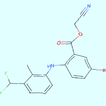 Cc1c(Nc2ccc(Br)cc2C(=O)OCC#N)cccc1C(F)F